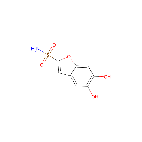 NS(=O)(=O)c1cc2cc(O)c(O)cc2o1